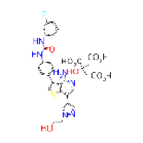 Nc1ncc(-c2cnn(CCO)c2)c2scc(-c3ccc(NC(=O)Nc4cccc(F)c4)cc3)c12.O=C(O)CC(O)(CC(=O)O)C(=O)O